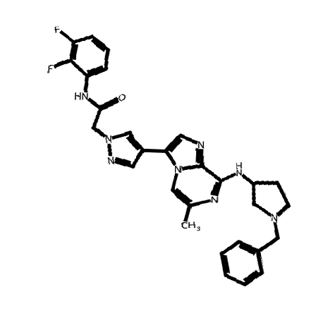 Cc1cn2c(-c3cnn(CC(=O)Nc4cccc(F)c4F)c3)cnc2c(NC2CCN(Cc3ccccc3)C2)n1